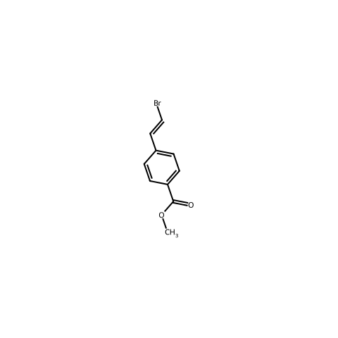 COC(=O)c1ccc(C=CBr)cc1